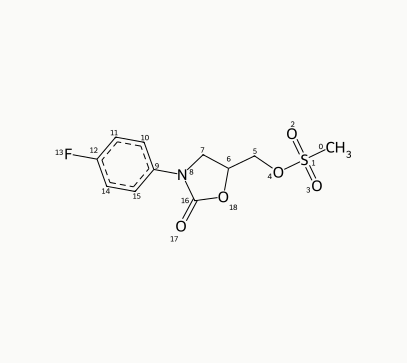 CS(=O)(=O)OCC1CN(c2ccc(F)cc2)C(=O)O1